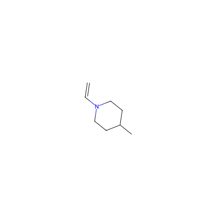 C=CN1CCC(C)CC1